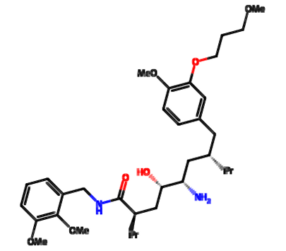 COCCCOc1cc(C[C@@H](C[C@H](N)[C@@H](O)C[C@H](C(=O)NCc2cccc(OC)c2OC)C(C)C)C(C)C)ccc1OC